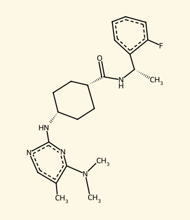 Cc1cnc(N[C@H]2CC[C@@H](C(=O)N[C@@H](C)c3ccccc3F)CC2)nc1N(C)C